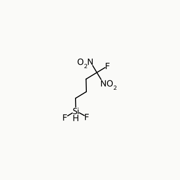 O=[N+]([O-])C(F)(CCC[SiH](F)F)[N+](=O)[O-]